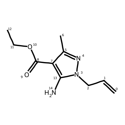 C=CCn1nc(C)c(C(=O)OCC)c1N